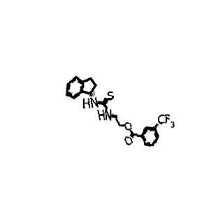 O=C(OCCNC(=S)N[C@H]1CCc2ccccc21)c1cccc(C(F)(F)F)c1